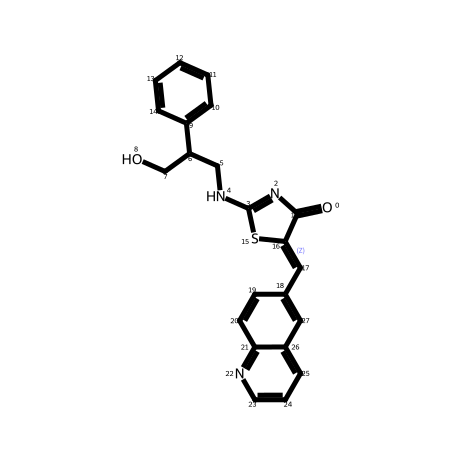 O=C1N=C(NCC(CO)c2ccccc2)S/C1=C\c1ccc2ncccc2c1